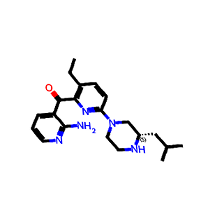 CCc1ccc(N2CCN[C@@H](CC(C)C)C2)nc1C(=O)c1cccnc1N